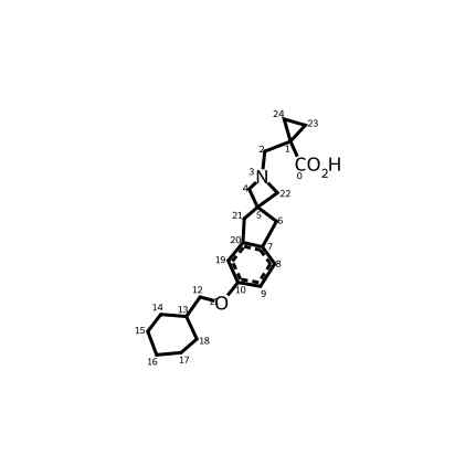 O=C(O)C1(CN2CC3(Cc4ccc(OCC5CCCCC5)cc4C3)C2)CC1